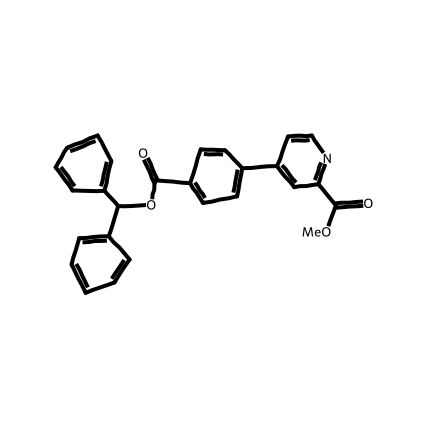 COC(=O)c1cc(-c2ccc(C(=O)OC(c3ccccc3)c3ccccc3)cc2)ccn1